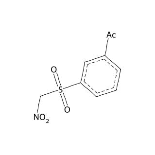 CC(=O)c1cccc(S(=O)(=O)C[N+](=O)[O-])c1